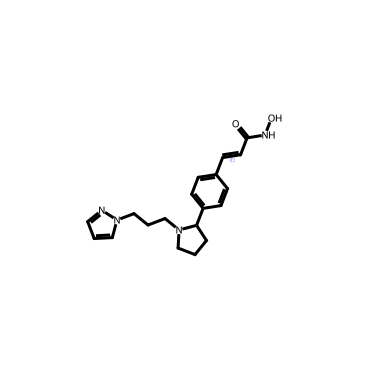 O=C(/C=C/c1ccc(C2CCCN2CCCn2cccn2)cc1)NO